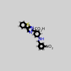 O=C(O)C1(c2ncc3c4c(sc3n2)CCCC4)CCC(NCc2cccc([N+](=O)[O-])c2)CC1